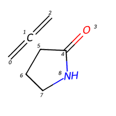 C=C=C.O=C1CCCN1